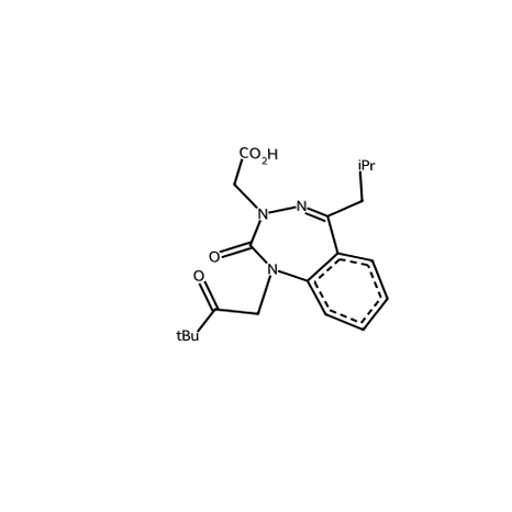 CC(C)CC1=NN(CC(=O)O)C(=O)N(CC(=O)C(C)(C)C)c2ccccc21